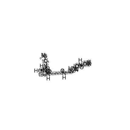 Cc1ncsc1-c1ccc(CNC(=O)[C@@H]2C[C@@H](O)CN2C(=O)[C@@H](NC(=O)CCCCCCCC(=O)NCCC2CCN(Cc3nc4cc(NC(=O)c5ccc6c(cnn6C)c5)ccc4[nH]3)C2)C(C)(C)C)cc1